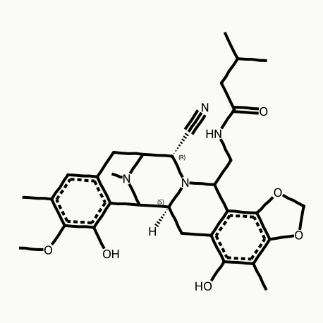 COc1c(C)cc2c(c1O)C1[C@@H]3Cc4c(O)c(C)c5c(c4C(CNC(=O)CC(C)C)N3[C@@H](C#N)C(C2)N1C)OCO5